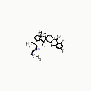 C=C(/C=C\C=C/C)[C@@H]1CC[C@H]2OC3(CCN(C(=O)c4c(F)cc(F)cc4F)CC3)C(=O)N21